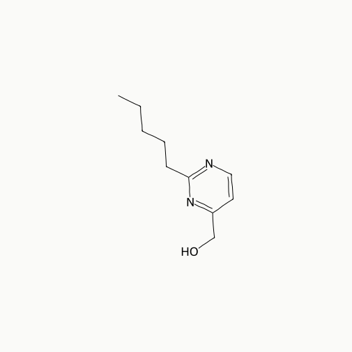 CCCCCc1nccc(CO)n1